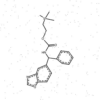 C[Si](C)(C)CCOC(=O)NC(c1ccccc1)c1ccc2ocnc2c1